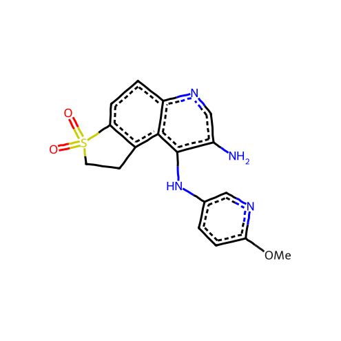 COc1ccc(Nc2c(N)cnc3ccc4c(c23)CCS4(=O)=O)cn1